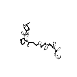 Cc1ccc(NC(=O)c2ccccc2NC(=O)CCOCCOCCNC(=O)OC(C)(C)C)cn1